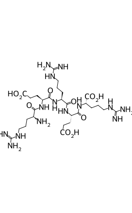 N=C(N)NCCC[C@H](NC(=O)[C@H](CCC(=O)O)NC(=O)[C@H](CCCNC(=N)N)NC(=O)[C@H](CCC(=O)O)NC(=O)[C@@H](N)CCCNC(=N)N)C(=O)O